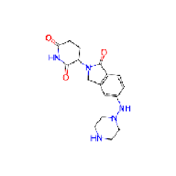 O=C1CCC(N2Cc3cc(NN4CCNCC4)ccc3C2=O)C(=O)N1